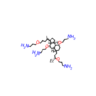 CC[C@@H](CC[C@@]1(C)CC[C@@H](OCCCN)C2[C@@H]1C[C@H](OCCCN)[C@]1(C)[C@@H]([C@H](C)CCCOCCCN)CC[C@@H]21)OCCCN